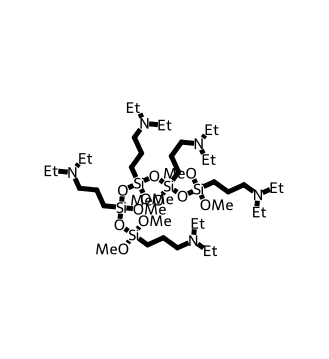 CCN(CC)CCC[Si](OC)(OC)O[Si](CCCN(CC)CC)(OC)O[Si](CCCN(CC)CC)(OC)O[Si](CCCN(CC)CC)(OC)O[Si](CCCN(CC)CC)(OC)OC